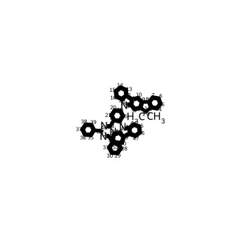 CC1(C)c2ccccc2-c2cc3c4ccccc4n(-c4ccc(-c5nc(-c6ccccc6)nc(-c6ccccc6)n5)c(-n5c6ccccc6c6ccccc65)c4)c3cc21